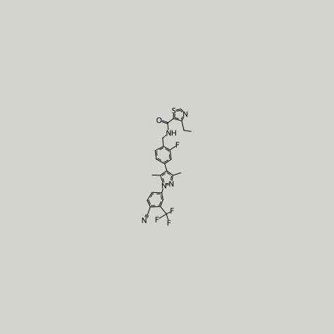 CCc1ncsc1C(=O)NCc1ccc(-c2c(C)nn(-c3ccc(C#N)c(C(F)(F)F)c3)c2C)cc1F